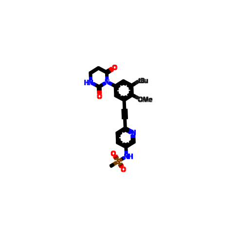 COc1c(C#Cc2ccc(NS(C)(=O)=O)cn2)cc(N2C(=O)CCNC2=O)cc1C(C)(C)C